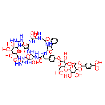 CC(c1ccccc1)C1NC(=O)CNC(=O)C(CO)NC(=O)C(C(O)C2CNC(=N)N2C2OC(CO)C(O)C(O)C2O)NC(=O)C(C(O)C2CNC(=N)N2)NC(=O)C(Cc2ccc(OC3OC(CO)C(OC4OC5COC(c6ccc(C(=O)O)cc6)OC5C(O)C4O)C(O)C3O)cc2)NC1=O